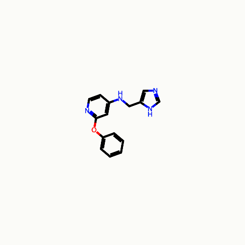 c1ccc(Oc2cc(NCc3cnc[nH]3)ccn2)cc1